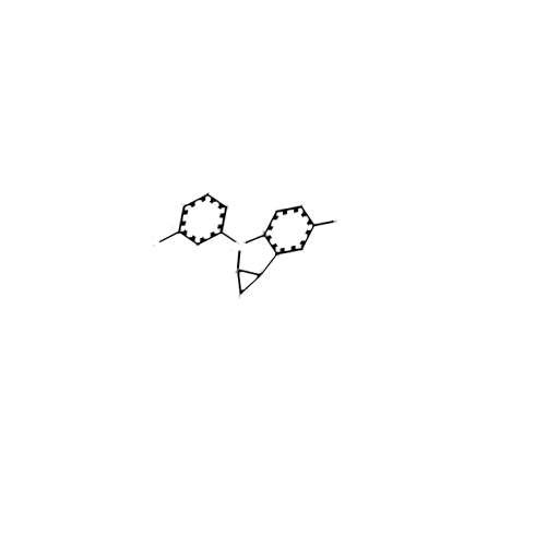 Clc1ccc2c(c1)C1CC1N2c1cccc(Br)c1